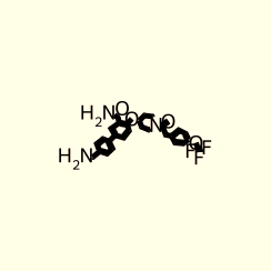 NCc1ccc(-c2ccc(OC3CCN(C(=O)Cc4ccc(OC(F)(F)F)cc4)CC3)c(C(N)=O)c2)cc1